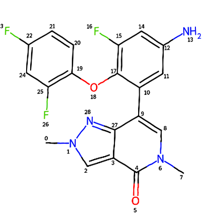 Cn1cc2c(=O)n(C)cc(-c3cc(N)cc(F)c3Oc3ccc(F)cc3F)c2n1